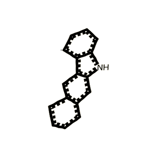 [c]1cccc2[nH]c3cc4ccccc4cc3c12